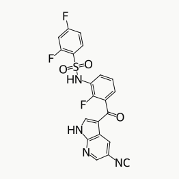 [C-]#[N+]c1cnc2[nH]cc(C(=O)c3cccc(NS(=O)(=O)c4ccc(F)cc4F)c3F)c2c1